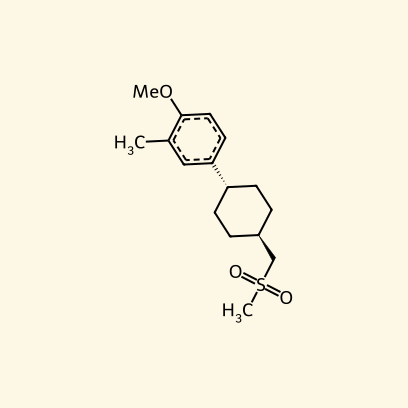 COc1ccc([C@H]2CC[C@H](CS(C)(=O)=O)CC2)cc1C